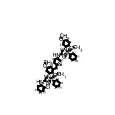 COc1ccc(OC)c(N(CC(=O)Nc2ccc(Cc3cc(OC)cc(N(CC(=O)Nc4ccccc4Cl)S(=O)(=O)c4ccccc4)c3OC)nc2)S(=O)(=O)c2ccccc2)c1